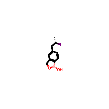 C[C@H](I)Cc1ccc2c(c1)COB2O